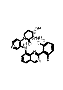 N[C@H]1C(=O)N(c2ccncc2Nc2cccc3cnc(-c4c(F)cccc4F)nc23)CC[C@@H]1O